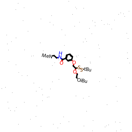 CNCCNC(=O)c1cccc(OCC(OCCOCC(C)C)SSC(C)(C)C)c1